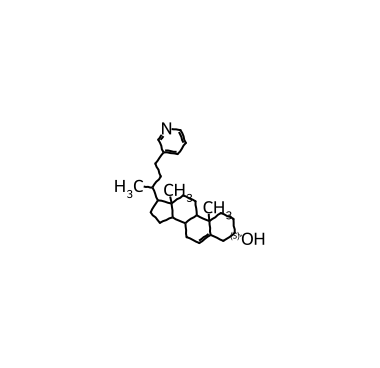 CC(CCc1cccnc1)C1CCC2C3CC=C4C[C@@H](O)CCC4(C)C3CCC12C